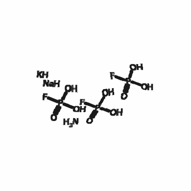 N.O=P(O)(O)F.O=P(O)(O)F.O=P(O)(O)F.[KH].[NaH]